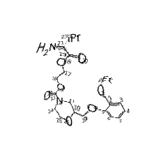 CCOc1ccccc1OCC1CN(C(=O)OCCOC(=O)[C@H](N)C(C)C)CCO1